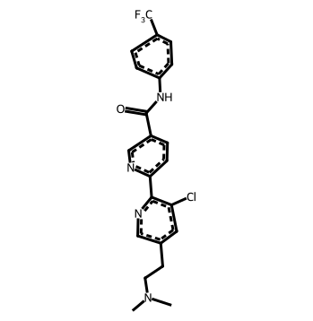 CN(C)CCc1cnc(-c2ccc(C(=O)Nc3ccc(C(F)(F)F)cc3)cn2)c(Cl)c1